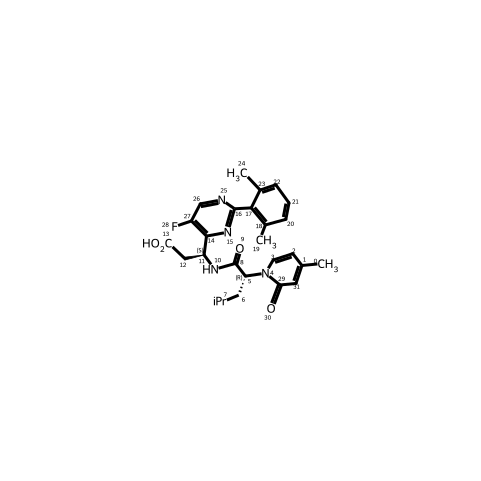 Cc1ccn([C@H](CC(C)C)C(=O)N[C@@H](CC(=O)O)c2nc(-c3c(C)cccc3C)ncc2F)c(=O)c1